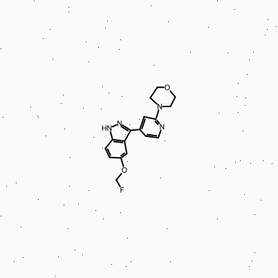 FCOc1ccc2[nH]nc(-c3ccnc(N4CCOCC4)c3)c2c1